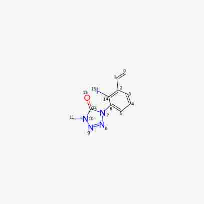 C=Cc1cccc(-n2nnn(C)c2=O)c1I